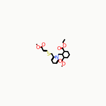 CCOC(=O)C1CCCC(C(=O)OC)C1CN1C=CCC=C1CSC=CC(=O)OC